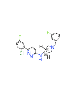 Fc1cccc(CN2C[C@H]3C(Nc4ccc(-c5cc(F)ccc5Cl)nn4)[C@@H]3C2)c1